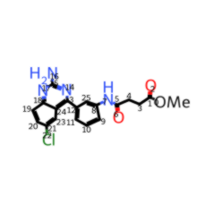 COC(=O)CCC(=O)Nc1cccc(-c2nc(N)nc3ccc(Cl)cc23)c1